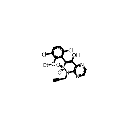 C#CCN1c2nccnc2C(O)=C(c2c(Cl)ccc(Cl)c2OCC)S1(=O)=O